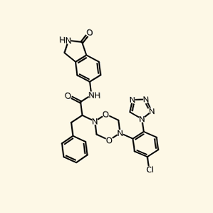 O=C1NCc2cc(NC(=O)C(Cc3ccccc3)N3CON(c4cc(Cl)ccc4-n4cnnn4)CO3)ccc21